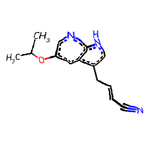 CC(C)Oc1cnc2[nH]cc(CC=CC#N)c2c1